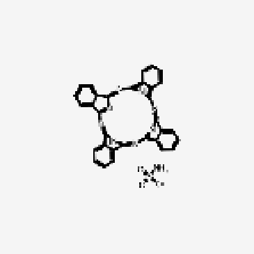 N[S](=O)(=O)[Co].c1ccc2c(c1)-c1nc-2nc2[nH]c(nc3nc(nc4[nH]c(n1)c1ccccc41)-c1ccccc1-3)c1ccccc21